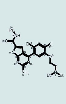 CCN(CC)CCOc1cc(-c2nc(N)nc3sc(C(=O)NC(C)C)cc23)c(Cl)cc1Cl